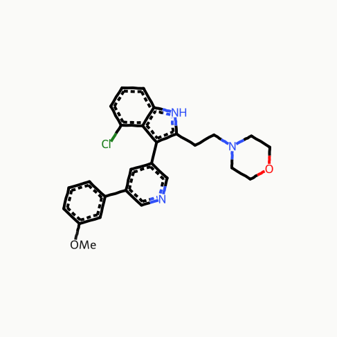 COc1cccc(-c2cncc(-c3c(CCN4CCOCC4)[nH]c4cccc(Cl)c34)c2)c1